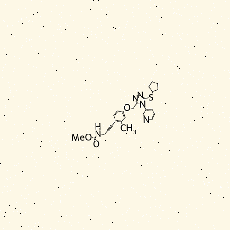 COC(=O)NCC#Cc1ccc(OCc2nnc(SC3CCCC3)n2-c2cccnc2)cc1C